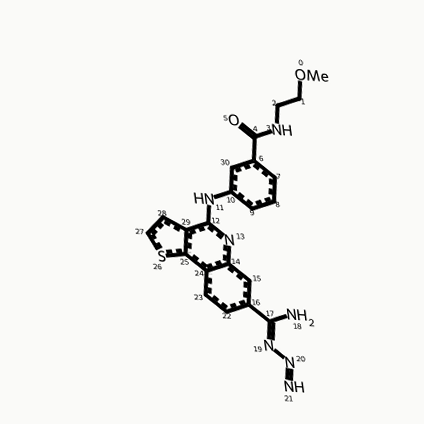 COCCNC(=O)c1cccc(Nc2nc3cc(/C(N)=N/N=N)ccc3c3sccc23)c1